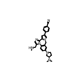 CNCc1cnc2n1-c1ccc(N3CC[C@@H](N(C)C)C3)cc1Cn1cc(-c3ccc(C#N)cc3)cc1-2